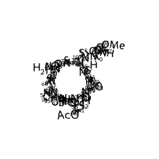 C=C(NC(=O)c1csc(-c2ccc3c(n2)-c2csc(n2)-c2csc(n2)[C@H]([C@@H](C)[C@@H]2CO2)NC(=O)[C@H](Cc2ccc(OC(C)=O)cc2)NC(=O)c2csc(n2)[C@H]([C@H](O)c2ccccc2)NC(=O)c2nc(sc2C)[C@H](CC(N)=O)NC(=O)c2csc-3n2)n1)C(=O)NC(=C)C(=O)OC